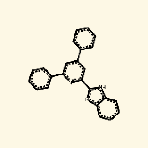 c1ccc(-c2cc(-c3ccccc3)nc(-c3nc4ccccc4[nH]3)c2)cc1